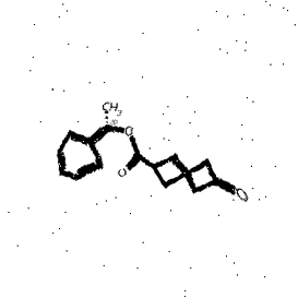 C[C@H](OC(=O)C1CC2(CC(=O)C2)C1)c1ccccc1